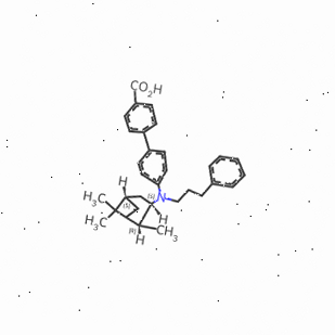 C[C@@H]1C2C[C@@H](C[C@@H]1N(CCCc1ccccc1)c1ccc(-c3ccc(C(=O)O)cc3)cc1)C2(C)C